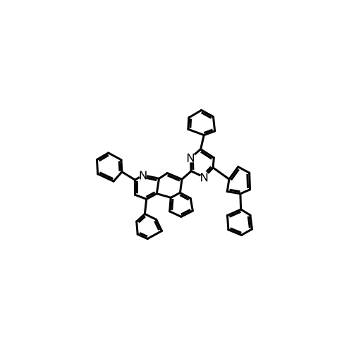 c1ccc(-c2cccc(-c3cc(-c4ccccc4)nc(-c4cc5nc(-c6ccccc6)cc(-c6ccccc6)c5c5ccccc45)n3)c2)cc1